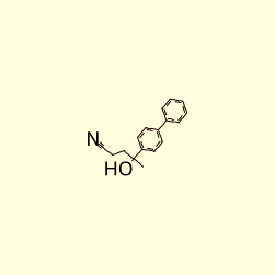 CC(O)(CCC#N)c1ccc(-c2ccccc2)cc1